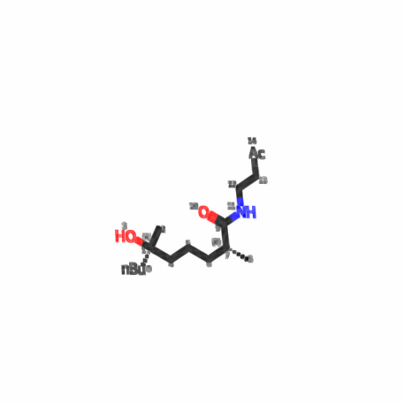 CCCC[C@@](C)(O)CCC[C@@H](C)C(=O)NCCC(C)=O